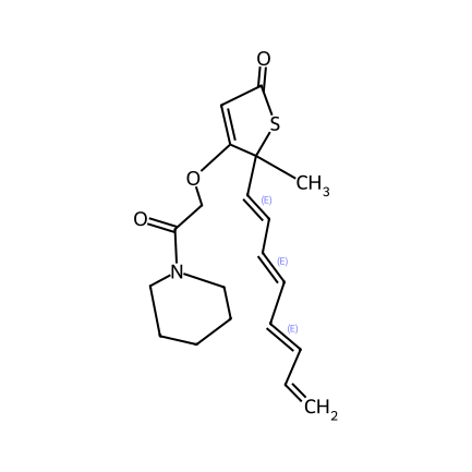 C=C/C=C/C=C/C=C/C1(C)SC(=O)C=C1OCC(=O)N1CCCCC1